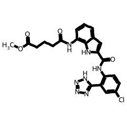 COC(=O)CCCC(=O)Nc1cccc2cc(C(=O)Nc3ccc(Cl)cc3-c3nnn[nH]3)[nH]c12